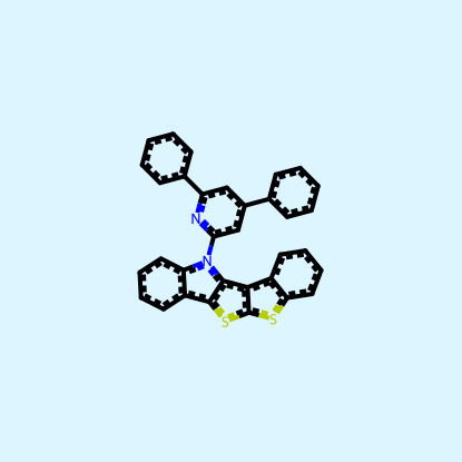 c1ccc(-c2cc(-c3ccccc3)nc(-n3c4ccccc4c4sc5sc6ccccc6c5c43)c2)cc1